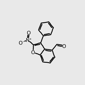 O=Cc1cccc2oc([N+](=O)[O-])c(-c3ccccc3)c12